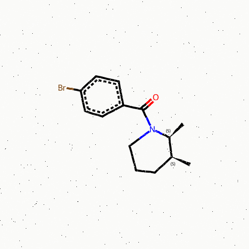 C[C@H]1CCCN(C(=O)c2ccc(Br)cc2)[C@H]1C